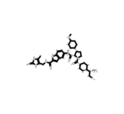 COC1CCC([C@@H]2CCN(C(=O)[C@H]3CC[C@H]([C@H](N)CF)CC3)[C@@H]2C(=O)Nc2ccc3oc(C(=O)OCc4oc(=O)oc4C)cc3c2)CC1